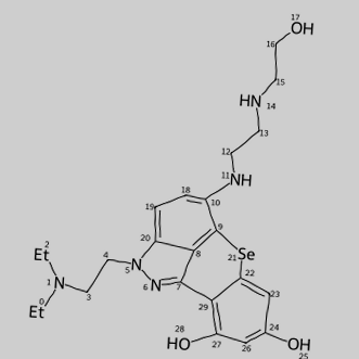 CCN(CC)CCn1nc2c3c(c(NCCNCCO)ccc31)[Se]c1cc(O)cc(O)c1-2